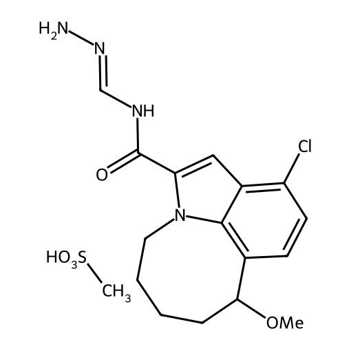 COC1CCCCn2c(C(=O)NC=NN)cc3c(Cl)ccc1c32.CS(=O)(=O)O